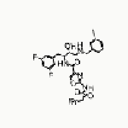 CC(C)CS(=O)(=O)Nc1nc(C(=O)N[C@@H](Cc2cc(F)cc(F)c2)[C@H](O)CNCc2cccc(I)c2)co1